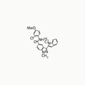 COc1ccc(NC(=O)c2ccc3c(c2)c(-c2cc4ccccc4n2C)nn3C)c(Cl)c1